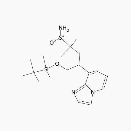 CC(C)(CC(CO[Si](C)(C)C(C)(C)C)c1cccn2ccnc12)[S+](N)[O-]